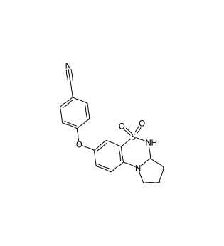 N#Cc1ccc(Oc2ccc3c(c2)S(=O)(=O)NC2CCCN32)cc1